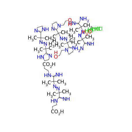 CC(C)(N=NC(C)(C)C(=N)N)C(=N)N.CC(C)(N=NC(C)(C)C(=N)NCCC(=O)O)C(=N)NCCC(=O)O.CC(C)(N=NC(C)(C)C1=NCCN1)C1=NCCN1.CC(C)(N=NC(C)(C)C1=NCCN1CCO)C1=NCCN1CCO.Cl.Cl.Cl.Cl.O